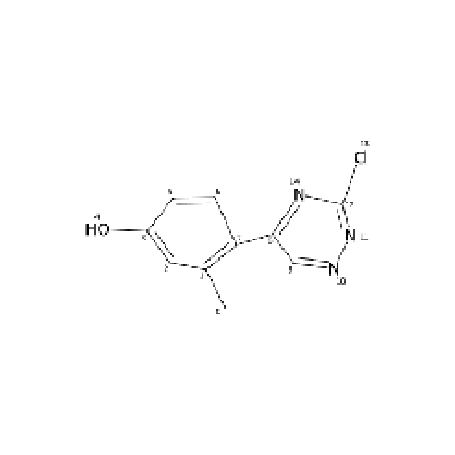 Cc1cc(O)ccc1-c1cnnc(Cl)n1